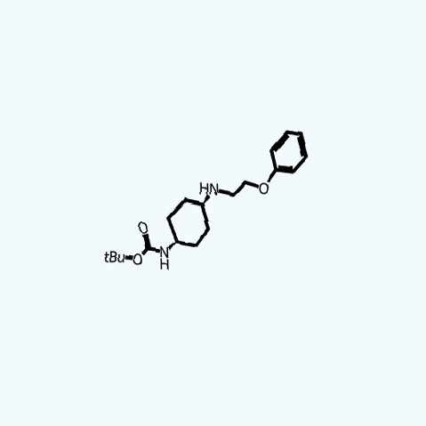 CC(C)(C)OC(=O)N[C@H]1CC[C@@H](NCCOc2ccccc2)CC1